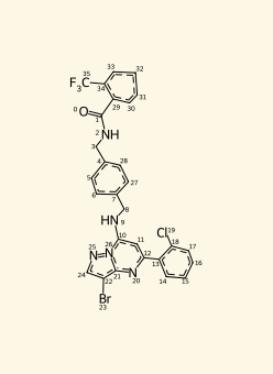 O=C(NCc1ccc(CNc2cc(-c3ccccc3Cl)nc3c(Br)cnn23)cc1)c1ccccc1C(F)(F)F